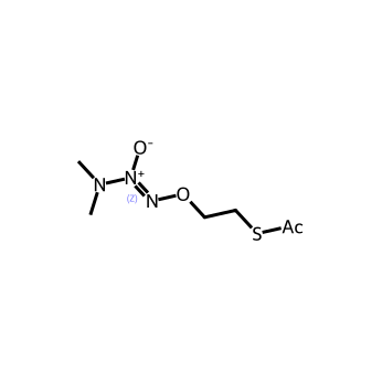 CC(=O)SCCO/N=[N+](\[O-])N(C)C